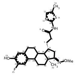 CO/N=C1\C[C@@H](CCC(=O)Nc2ncc(C)s2)C2C3CCc4cc(O)c(F)cc4C3CC[C@]12C